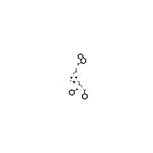 Cn1c(=O)n(CC(O)COC(=O)c2cccc3ccccc23)c(=O)n(CC(COC(=O)c2ccccc2)OC(=O)c2ccccc2)c1=O